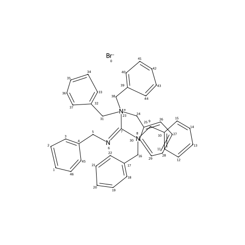 [Br-].c1ccc(CN=C(N(Cc2ccccc2)Cc2ccccc2)[N+](Cc2ccccc2)(Cc2ccccc2)Cc2ccccc2)cc1